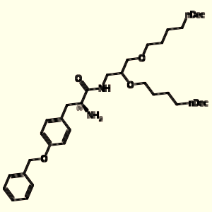 CCCCCCCCCCCCCCOCC(CNC(=O)[C@@H](N)Cc1ccc(OCc2ccccc2)cc1)OCCCCCCCCCCCCCC